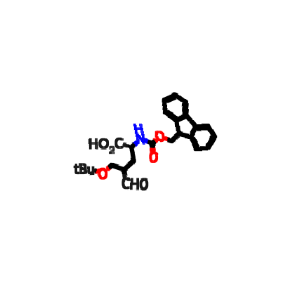 CC(C)(C)OCC(C=O)C[C@H](NC(=O)OCC1c2ccccc2-c2ccccc21)C(=O)O